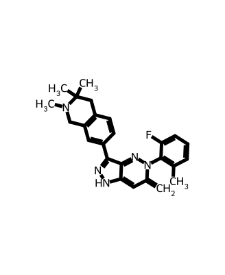 C=C1C=c2[nH]nc(-c3ccc4c(c3)CN(C)C(C)(C)C4)c2=NN1c1c(C)cccc1F